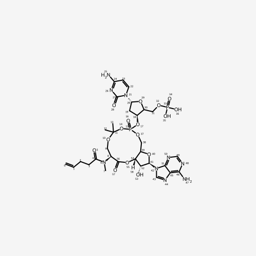 C=CCCC(=O)N(C)[C@H]1COC(C)(C)OP(=O)(O[C@H]2C[C@H](n3ccc(N)nc3=O)OC2COP(=O)(O)O)OCC2O[C@@H](n3cnc4c(N)ncnc43)[C@H](O)[C@@H]2OC1=O